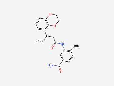 CCCCCC(CC(=O)Nc1cc(C(N)=O)ccc1C(C)(C)C)c1cccc2c1OCCO2